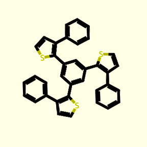 c1ccc(-c2ccsc2-c2cc(-c3sccc3-c3ccccc3)cc(-c3sccc3-c3ccccc3)c2)cc1